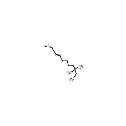 CCCCCCCCCCCCCCCC[N+](C)(C)CC(=O)[O-]